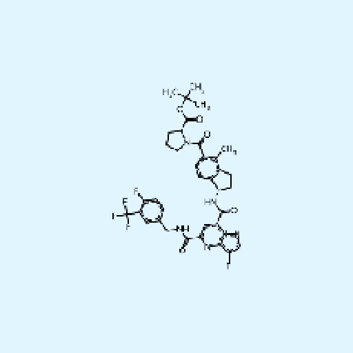 Cc1c(C(=O)N2CCC[C@H]2C(=O)OC(C)(C)C)ccc2c1CC[C@@H]2NC(=O)c1cc(C(=O)NCc2ccc(F)c(C(F)(F)F)c2)nc2c(F)cnn12